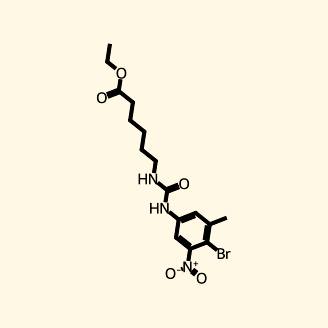 CCOC(=O)CCCCCNC(=O)Nc1cc(C)c(Br)c([N+](=O)[O-])c1